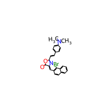 CN(C)c1ccc(C=CC2=NC(=Cc3ccc4ccccc4c3Br)C(=O)O2)cc1